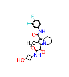 Cc1c(C(=O)Nc2ccc(F)c(F)c2)c2n(c1C(=O)C(=O)NC1CC(O)C1)CCCC2